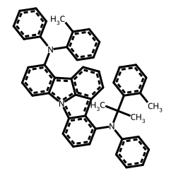 Cc1ccccc1N(c1ccccc1)c1cccc2c1c1cccc3c4c(N(c5ccccc5)C(C)(C)c5ccccc5C)cccc4n2c13